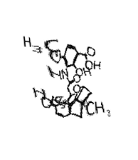 COc1ccc(C(=O)O)c(O)c1NC(=O)CC[C@@]1(C)C(=O)C=CC23CC4(C)OC(C[C@@]4(C)C2)C31